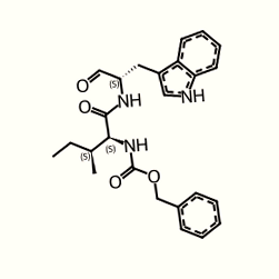 CC[C@H](C)[C@H](NC(=O)OCc1ccccc1)C(=O)N[C@H](C=O)Cc1c[nH]c2ccccc12